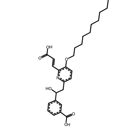 CCCCCCCCCCOc1ccc(CC(O)c2cccc(C(=O)O)c2)nc1C=CC(=O)O